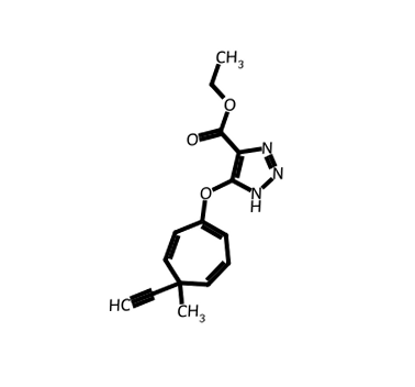 C#CC1(C)C=CC=C(Oc2[nH]nnc2C(=O)OCC)C=C1